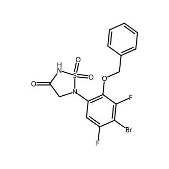 O=C1CN(c2cc(F)c(Br)c(F)c2OCc2ccccc2)S(=O)(=O)N1